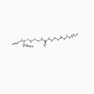 CCCCCCOC(COCCOC(=O)CCCCCCCCC(=O)O)OCCCCCC